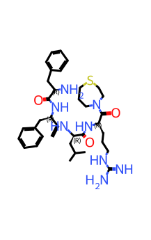 C=C(N[C@H](CC(C)C)C(=O)N[C@H](CCCNC(=N)N)C(=O)N1CCCSCC1)[C@@H](Cc1ccccc1)NC(=O)[C@H](N)Cc1ccccc1